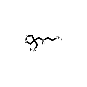 CCCBCC1(CC)CSSC1